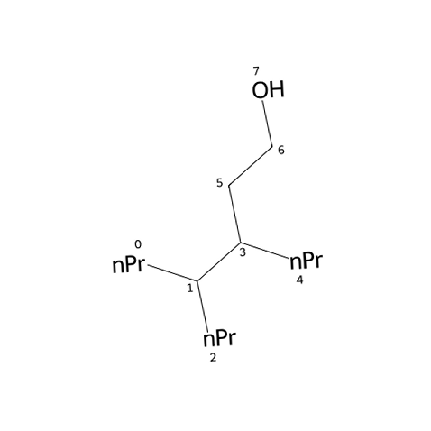 CCCC(CCC)C(CCC)CCO